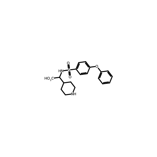 O=C(O)C(NS(=O)(=O)c1ccc(Oc2ccccc2)cc1)C1CCNCC1